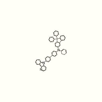 C1=CCCC(N(c2ccc(-c3ccc(-n4c5ccccc5c5ncccc54)cc3)cc2)c2ccc3c(c2)-c2ccccc2C3(c2ccccc2)c2ccccc2)=C1